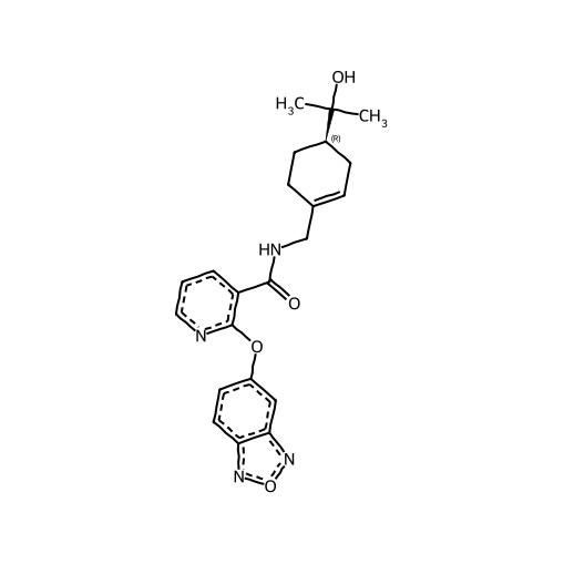 CC(C)(O)[C@H]1CC=C(CNC(=O)c2cccnc2Oc2ccc3nonc3c2)CC1